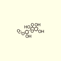 O=c1c(O)c(-c2ccc(OC3COC3)c(O)c2)oc2cc(O)cc(O)c12